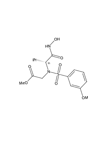 COC(=O)CN([C@@H](C(=O)NO)C(C)C)S(=O)(=O)c1cccc(OC)c1